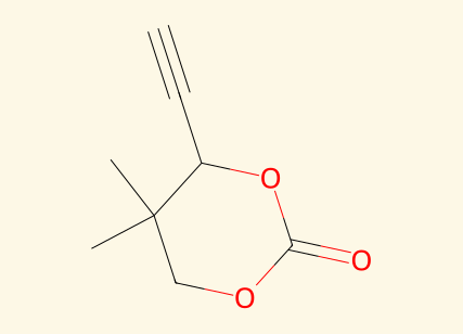 C#CC1OC(=O)OCC1(C)C